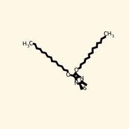 CCCCCCCCCCCCCCOC1=C(OCCCCCCCCCCCCCC)c2nc3cscc3nc21